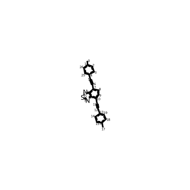 Cc1ccc(C#Cc2ccc(C#Cc3ccc(C)cc3)c3nsnc23)cc1